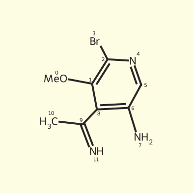 COc1c(Br)ncc(N)c1C(C)=N